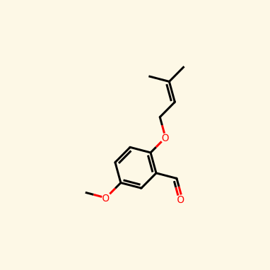 COc1ccc(OCC=C(C)C)c(C=O)c1